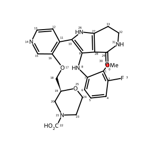 COc1c(F)cccc1Nc1c(-c2ccncc2OC[C@@H]2CN(C(=O)O)CCO2)[nH]c2c1C(=O)NCC2